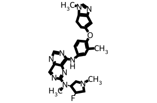 Cc1cc(Nc2ncnc3cnc(N(C)[C@@H]4CN(C)C[C@@H]4F)nc23)ccc1OC1=Cc2ncn(C)c2CC1